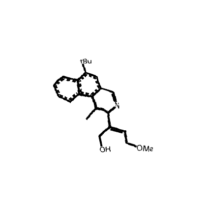 COC/C=C(\CO)C1N=Cc2cc(C(C)(C)C)c3ccccc3c2C1C